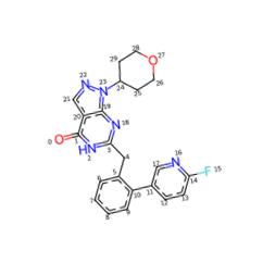 O=c1[nH]c(Cc2ccccc2-c2ccc(F)nc2)nc2c1cnn2C1CCOCC1